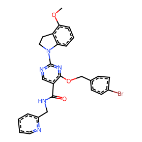 COc1cccc2c1CCN2c1ncc(C(=O)NCc2ccccn2)c(OCc2ccc(Br)cc2)n1